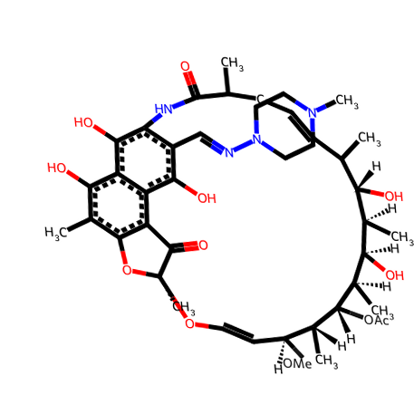 CO[C@H]1/C=C/O[C@@]2(C)Oc3c(C)c(O)c4c(O)c(c(/C=N/N5CCN(C)CC5)c(O)c4c3C2=O)NC(=O)C(C)C/C=C/C(C)[C@H](O)[C@@H](C)[C@@H](O)[C@@H](C)[C@H](OC(C)=O)[C@@H]1C